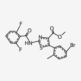 COC(=O)c1nc(NC(=O)c2c(F)cccc2F)sc1-c1cc(Br)ccc1C